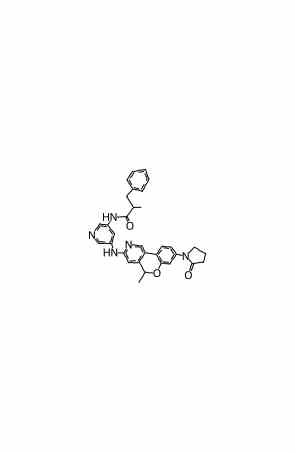 CC(Cc1ccccc1)C(=O)Nc1cncc(Nc2cc3c(cn2)-c2ccc(N4CCCC4=O)cc2OC3C)c1